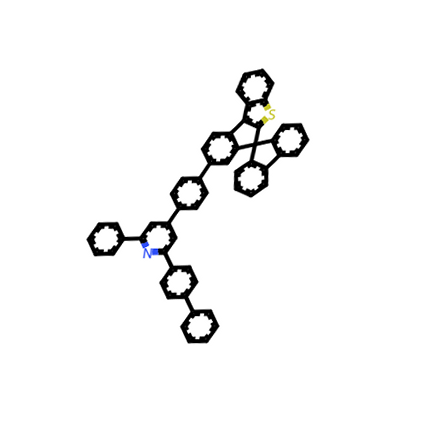 c1ccc(-c2ccc(-c3cc(-c4ccc(-c5ccc6c(c5)C5(c7ccccc7-c7ccccc75)c5sc7ccccc7c5-6)cc4)cc(-c4ccccc4)n3)cc2)cc1